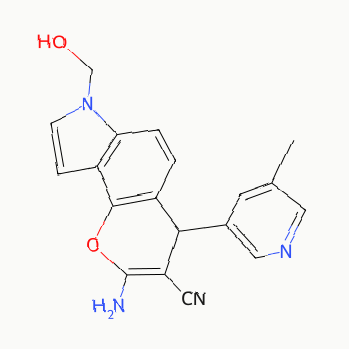 Cc1cncc(C2C(C#N)=C(N)Oc3c2ccc2c3ccn2CO)c1